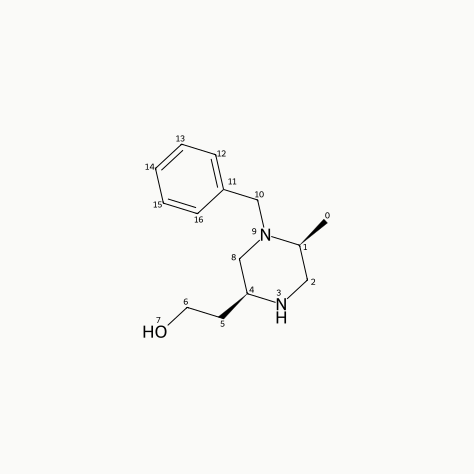 C[C@H]1CN[C@@H](CCO)CN1Cc1ccccc1